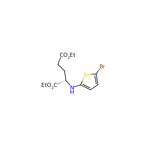 CCOC(=O)CC[C@H](Nc1ccc(Br)s1)C(=O)OCC